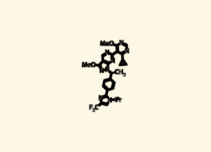 COc1ncnc(C2CC2)c1-c1ncc2c(OC)nn([C@@H](C)c3ccc(-c4nc(C(F)(F)F)cn4C(C)C)cc3)c2n1